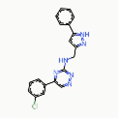 Clc1cccc(-c2cnnc(NCc3cc(-c4ccccc4)[nH]n3)n2)c1